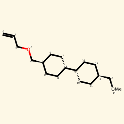 C=CCOC[C@H]1CC[C@H]([C@H]2CC[C@H](COC)CC2)CC1